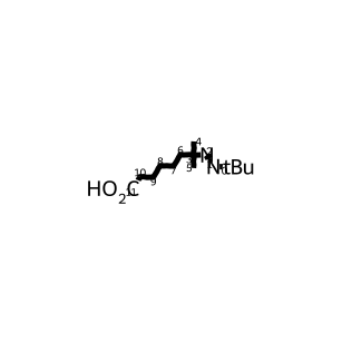 CC(C)(C)N=NC(C)(C)CCCCCC(=O)O